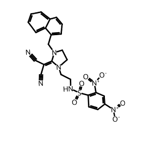 N#CC(C#N)=C1N(CCNS(=O)(=O)c2ccc([N+](=O)[O-])cc2[N+](=O)[O-])CCN1Cc1cccc2ccccc12